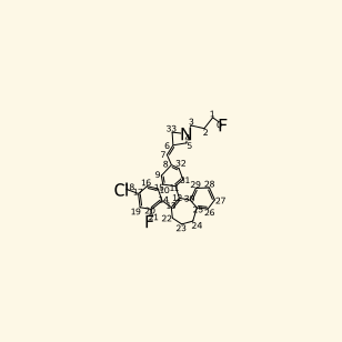 FCCCN1CC(=Cc2ccc(C3=C(c4ccc(Cl)cc4F)CCCc4ccccc43)cc2)C1